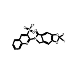 CCS(=O)(=O)c1cc2ccccc2nc1N1Cc2cc3c(cc2C1=O)OC(F)(F)O3